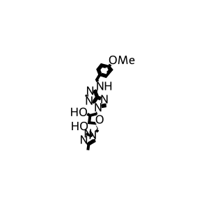 COc1ccc(CNc2ncnc3c2ncn3[C@@H]2O[C@H](Cn3cc(C)nn3)[C@H](O)C2O)cc1